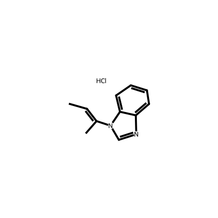 CC=C(C)n1cnc2ccccc21.Cl